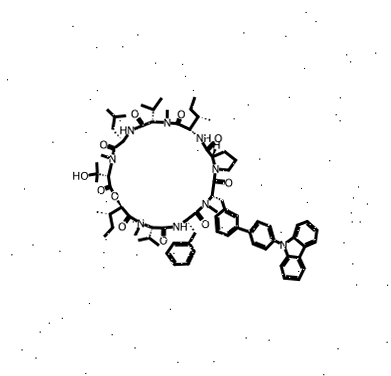 CC[C@H](C)[C@@H]1NC(=O)[C@@H]2CCCN2C(=O)[C@H](Cc2cccc(-c3ccc(-n4c5ccccc5c5ccccc54)cc3)c2)N(C)C(=O)[C@H](Cc2ccccc2)NC(=O)[C@H](C(C)C)N(C)C(=O)[C@@H]([C@@H](C)CC)OC(=O)[C@H](C(C)(C)O)N(C)C(=O)[C@H](CC(C)C)NC(=O)[C@H](C(C)C)N(C)C1=O